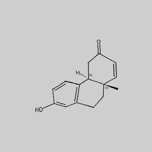 C[C@]12C=CC(=O)C[C@@H]1c1ccc(O)cc1CC2